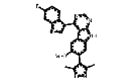 COc1cc2c(cc1-c1c(C)noc1C)[nH]c1ncnc(-c3c[nH]c4cc(F)ccc34)c12